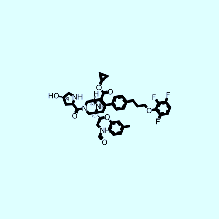 Cc1cccc(OC(CNC=O)[C@]23CC(c4ccc(CCCOc5c(F)ccc(F)c5F)cc4)=C(C(=O)OC4CC4)[C@H](CN(C(=O)C4C[C@@H](O)CN4)C2)N3)c1